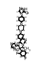 CC(n1cnc2cc(N3CCN(c4ccc(-n5cn[nH]c5=O)cc4)CC3)ccc2c1=O)C(O)(Cn1cncn1)c1ccc(F)cc1F